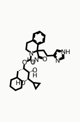 NC(=O)C1(CCc2c[nH]cn2)c2ccccc2CCN1C(=O)O[C@@H](CC1CCCCC1)[C@H](O)[C@@H](O)C1CC1